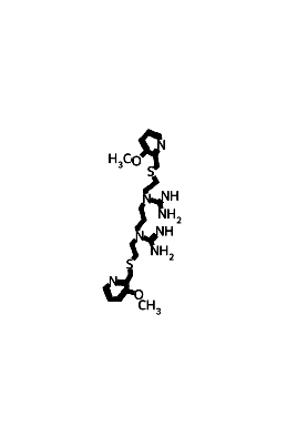 COc1cccnc1CSCCN(CCCN(CCSCc1ncccc1OC)C(=N)N)C(=N)N